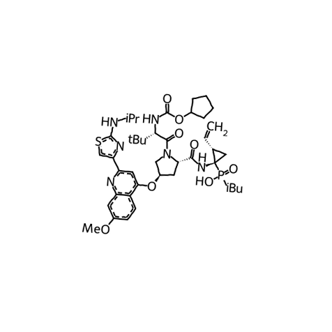 C=C[C@@H]1C[C@]1(NC(=O)[C@@H]1C[C@@H](Oc2cc(-c3csc(NC(C)C)n3)nc3cc(OC)ccc23)CN1C(=O)[C@@H](NC(=O)OC1CCCC1)C(C)(C)C)P(=O)(O)C(C)CC